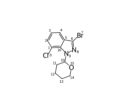 Clc1cccc2c(Br)nn(C3CCCCO3)c12